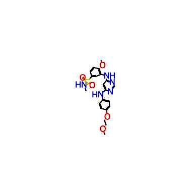 CNS(=O)(=O)c1ccc(OC)c(Nc2cc(Nc3ccc(OCCOC)cc3)ncn2)c1